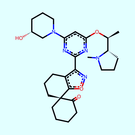 C[C@H](Oc1cc(N2CCC[C@@H](O)C2)nc(-c2noc3c2CCC[C@@]32CCCCC2=O)n1)[C@@H]1CCCN1C